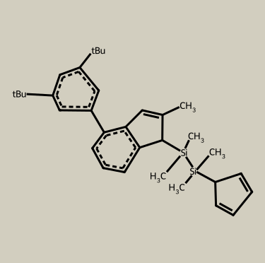 CC1=Cc2c(-c3cc(C(C)(C)C)cc(C(C)(C)C)c3)cccc2C1[Si](C)(C)[Si](C)(C)C1C=CC=C1